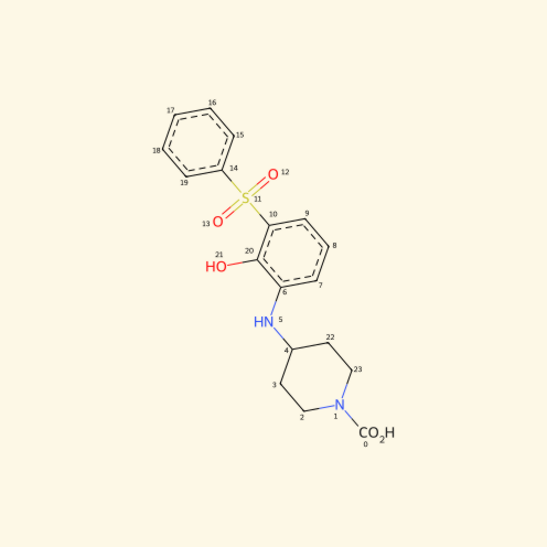 O=C(O)N1CCC(Nc2cccc(S(=O)(=O)c3ccccc3)c2O)CC1